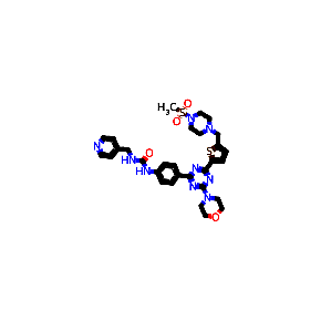 CS(=O)(=O)N1CCN(Cc2ccc(-c3nc(-c4ccc(NC(=O)NCc5ccncc5)cc4)nc(N4CCOCC4)n3)s2)CC1